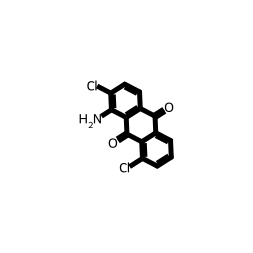 Nc1c(Cl)ccc2c1C(=O)c1c(Cl)cccc1C2=O